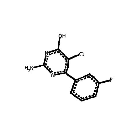 Nc1nc(O)c(Cl)c(-c2cccc(F)c2)n1